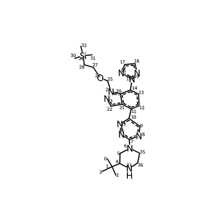 CC(C)(C)C1CN(c2ncc(-c3ccc(-n4nccn4)c4c3cnn4COCC[Si](C)(C)C)nn2)CCN1